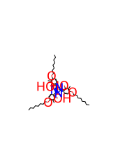 CCCCCCCCOc1ccc(-c2nc(-c3ccc(OCCCCCCCC)c(C)c3O)nc(-c3ccc(OCCCCCCCC)c(C)c3O)n2)c(O)c1C